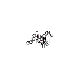 COCOc1cc(-c2nc3c4c(nc(OC[C@@]56CCCN5C[C@@H](F)C6)nc4c2F)N2C[C@@H]4CC[C@H]([C@H]2CO3)N4C(=O)OC(C)(C)C)c2c(F)c(F)ccc2c1